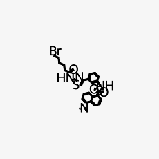 CN(C)c1cccc2c(S(=O)(=O)Nc3cccc(-c4csc(NC(=O)CCCCCBr)n4)c3)cccc12